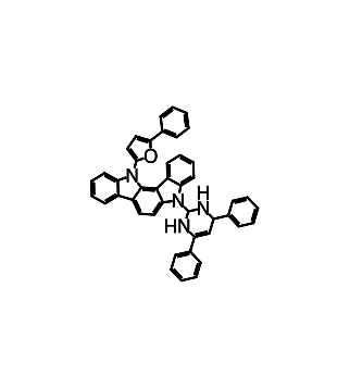 C1=C(c2ccccc2)NC(n2c3ccccc3c3c4c(ccc32)c2ccccc2n4-c2ccc(-c3ccccc3)o2)NC1c1ccccc1